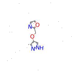 [c]1n[nH]cc1OCc1ncco1